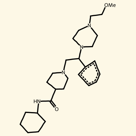 COCCN1CCN(C(CN2CCC(C(=O)NC3CCCCC3)CC2)c2ccccc2)CC1